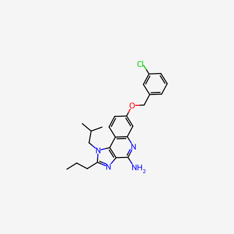 CCCc1nc2c(N)nc3cc(OCc4cccc(Cl)c4)ccc3c2n1CC(C)C